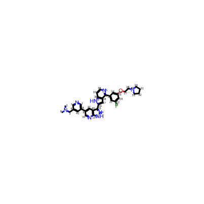 CN(C)Cc1cncc(-c2cnc3[nH]nc(-c4cc5c(-c6cc(F)cc(OCCN7CCCC7)c6)nccc5[nH]4)c3c2)c1